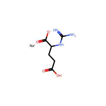 N=C(N)NC(CCC(=O)O)C(=O)[O-].[Na+]